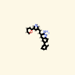 Cc1ccccc1-c1ccc2nc(N)c(CCc3cncc(C4CCCCO4)c3)cc2c1